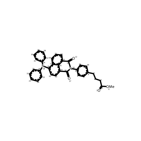 COC(=O)CCCc1ccc(N2C(=O)c3cccc4c(N(c5ccccc5)c5ccccc5)ccc(c34)C2=O)cc1